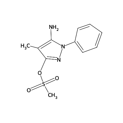 Cc1c(OS(C)(=O)=O)nn(-c2ccccc2)c1N